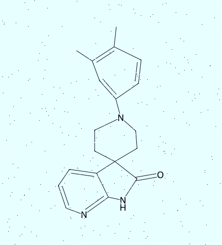 Cc1ccc(N2CCC3(CC2)C(=O)Nc2ncccc23)cc1C